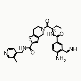 CC[C@@H](NC(=O)c1ccc(N)c(C=N)c1)C(=O)N1CCc2sc(C(=O)NCc3ccncc3C)cc2C1